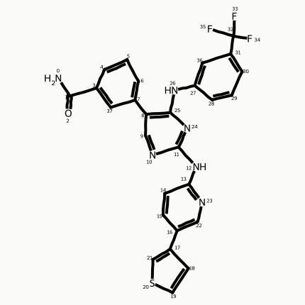 NC(=O)c1cccc(-c2cnc(Nc3ccc(-c4ccsc4)cn3)nc2Nc2cccc(C(F)(F)F)c2)c1